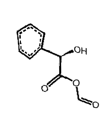 O=COC(=O)[C@H](O)c1ccccc1